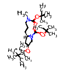 CN(CCC[C@@H]1C[C@@H](O[Si](C)(C)C(C)(C)C)CN1C(=O)OC(C)(C)C)C(=O)OC(C)(C)C